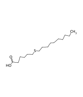 CCCCCCCCCCSCCCCCC(=O)O